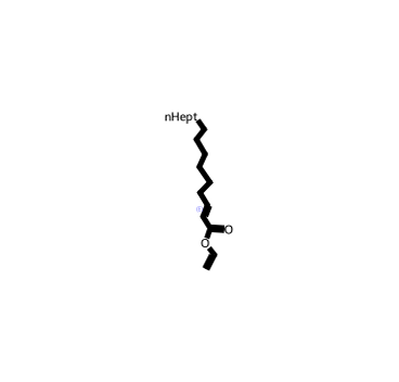 C=COC(=O)/C=C/CCCCCCCCCCCCC